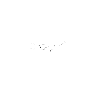 [N-]=[N+]=NCC1CN(c2ccc(N3CCOCC3)c(F)c2)C(=O)O1